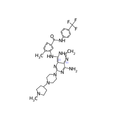 C=C/N=C1/C(N)=NC(N2CCN(C3CCN(C)CC3)CC2)=N/C1=C(/N)Nc1cc(C(=O)Nc2ccc(C(F)(F)F)cc2)ccc1C